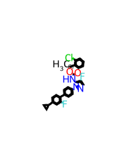 C[C@@H](OC(=O)Nc1c(F)cnn1-c1ccc(-c2ccc(C3CC3)cc2F)cc1)c1ccccc1Cl